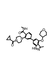 CNC(=O)c1ccc(-c2cc(OC3CCOCC3)c3c(C)n[nH]c3c2)cc1N1CCN(C(=O)C2CC2)CC1